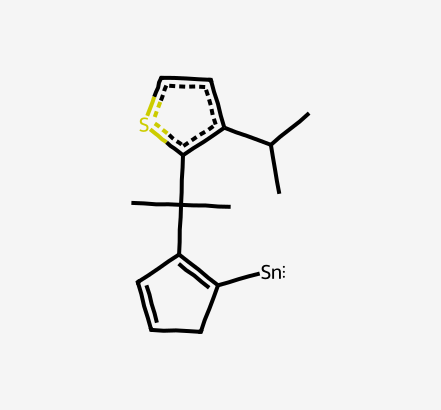 CC(C)c1ccsc1C(C)(C)C1=[C]([Sn])CC=C1